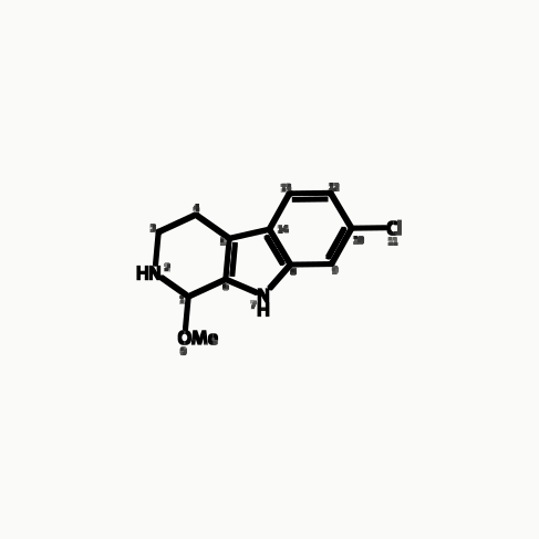 COC1NCCc2c1[nH]c1cc(Cl)ccc21